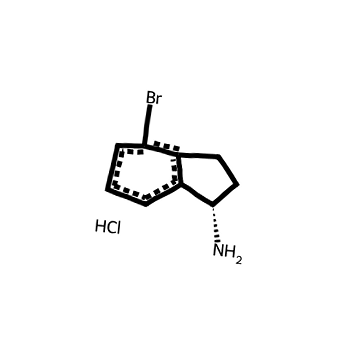 Cl.N[C@H]1CCc2c(Br)cccc21